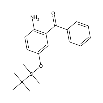 CC(C)(C)[Si](C)(C)Oc1ccc(N)c(C(=O)c2ccccc2)c1